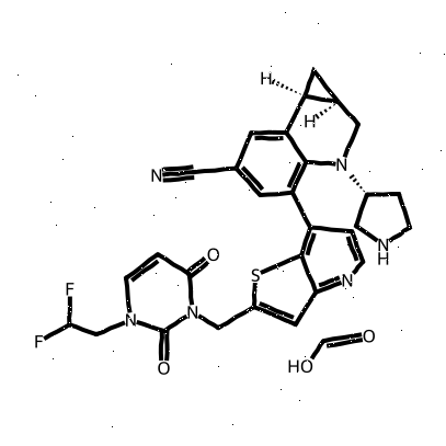 N#Cc1cc(-c2ccnc3cc(Cn4c(=O)ccn(CC(F)F)c4=O)sc23)c2c(c1)[C@H]1C[C@H]1CN2[C@@H]1CCNC1.O=CO